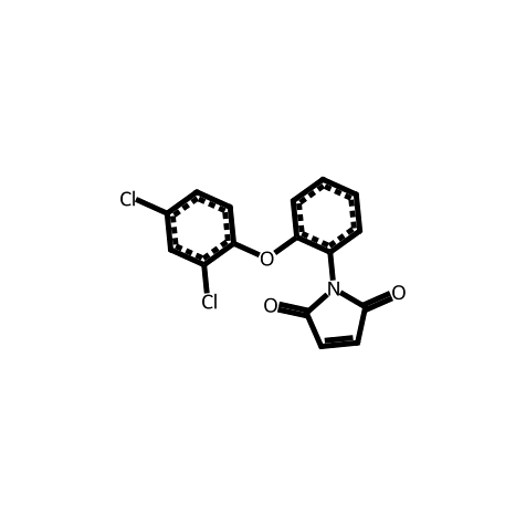 O=C1C=CC(=O)N1c1ccccc1Oc1ccc(Cl)cc1Cl